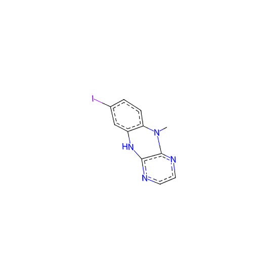 CN1c2ccc(I)cc2Nc2nccnc21